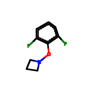 Fc1cccc(F)c1ON1CCC1